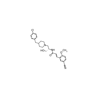 COc1ccc(C#N)cc1/C=C/C(=O)N[C@H](CO)CN1CCC(Cc2ccc(Cl)cc2)CC1